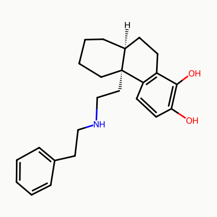 Oc1ccc2c(c1O)CC[C@@H]1CCCC[C@]21CCNCCc1ccccc1